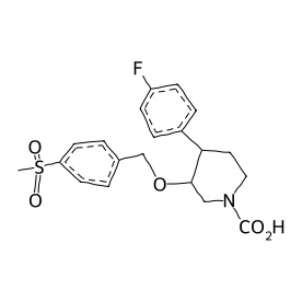 CS(=O)(=O)c1ccc(COC2CN(C(=O)O)CCC2c2ccc(F)cc2)cc1